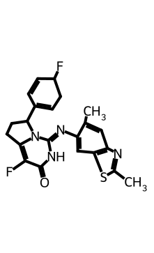 Cc1nc2cc(C)c(/N=c3\[nH]c(=O)c(F)c4n3C(C3=CCC(F)C=C3)CC4)cc2s1